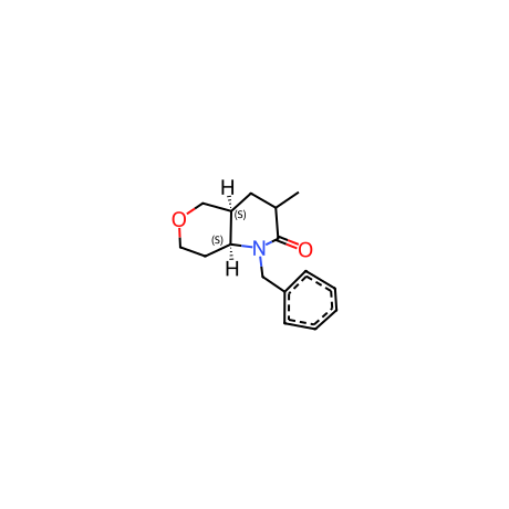 CC1C[C@@H]2COCC[C@@H]2N(Cc2ccccc2)C1=O